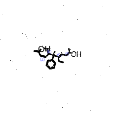 C=C/C(=C\C=C(/C)O)C(C)(C(/C=C\C(=C)O)=C/C)c1ccccc1